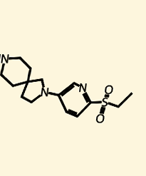 CCS(=O)(=O)c1ccc(N2CCC3(CCNCC3)C2)cn1